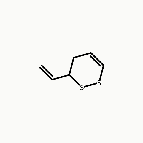 C=CC1CC=CSS1